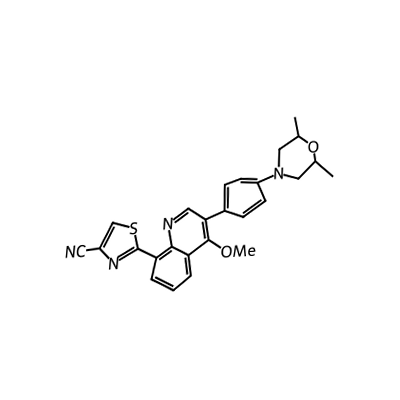 COc1c(-c2ccc(N3CC(C)OC(C)C3)cc2)cnc2c(-c3nc(C#N)cs3)cccc12